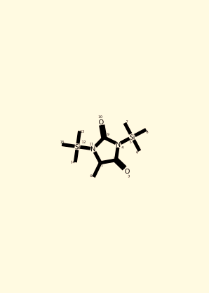 CC1C(=O)N([Si](C)(C)C)C(=O)N1[Si](C)(C)C